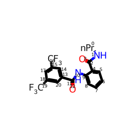 CCCNC(=O)c1ccccc1NC(=O)c1cc(C(F)(F)F)cc(C(F)(F)F)c1